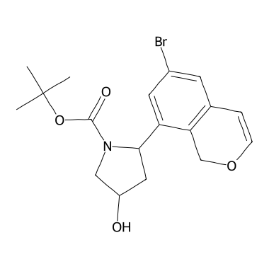 CC(C)(C)OC(=O)N1CC(O)CC1c1cc(Br)cc2c1COC=C2